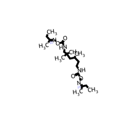 CC/C(C)=N\OC(=O)NCCC(C)CC(C)(C)CNC(=O)O/N=C(\C)CC